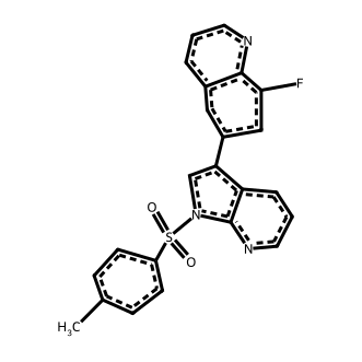 Cc1ccc(S(=O)(=O)n2cc(-c3cc(F)c4ncccc4c3)c3cccnc32)cc1